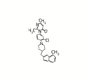 Cc1cc(=O)n(-c2ccc(N3CCC(Cc4ccc5cccc(C)c5c4)CC3)c(Cl)c2)c(C)n1